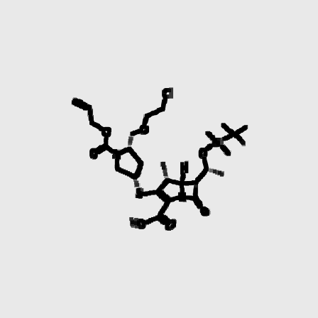 C=CCOC(=O)N1C[C@@H](SC2=C(C(=O)O)N3C(=O)[C@H]([C@@H](C)O[Si](C)(C)C(C)(C)C)[C@H]3[C@H]2C)C[C@H]1COCCCl